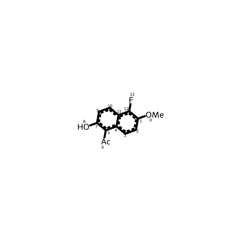 COc1ccc2c(C(C)=O)c(O)ccc2c1F